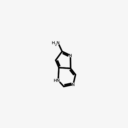 Nc1cc2[nH]cncc-2n1